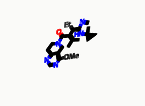 C=N/C(NC1(C)CC1)=C(\CC)C(C(=O)N1CCc2ncnc(OC)c2C1)=C(C)C